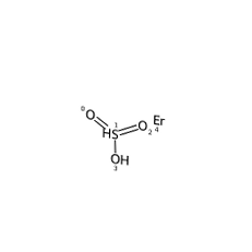 O=[SH](=O)O.[Er]